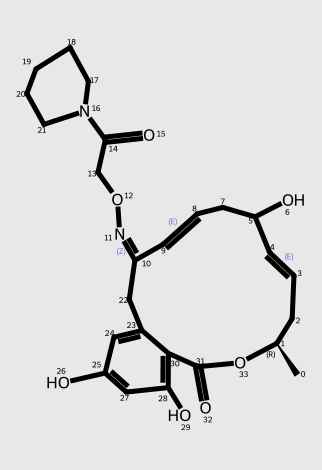 C[C@@H]1C/C=C/C(O)C/C=C/C(=N\OCC(=O)N2CCCCC2)Cc2cc(O)cc(O)c2C(=O)O1